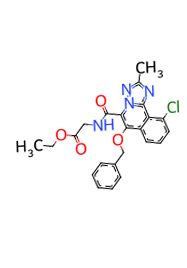 CCOC(=O)CNC(=O)c1c(OCc2ccccc2)c2cccc(Cl)c2c2nc(C)nn12